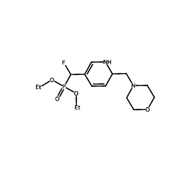 CCOP(=O)(OCC)C(F)C1=CNC(CN2CCOCC2)C=C1